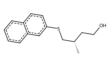 C[C@@H](CCO)CSc1ccc2ccccc2c1